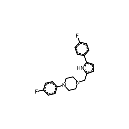 Fc1ccc(-c2ccc(CN3CCN(c4ccc(F)cc4)CC3)[nH]2)cc1